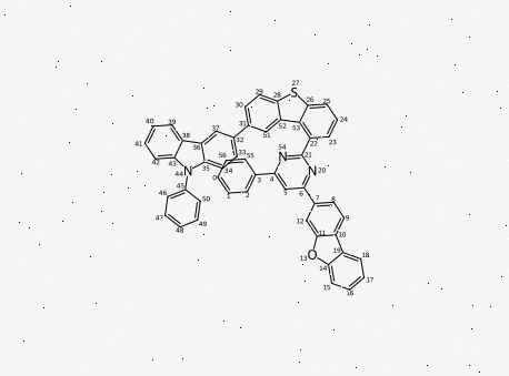 c1ccc(-c2cc(-c3ccc4c(c3)oc3ccccc34)nc(-c3cccc4sc5ccc(-c6ccc7c(c6)c6ccccc6n7-c6ccccc6)cc5c34)n2)cc1